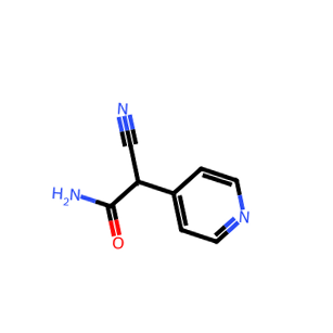 N#C[C](C(N)=O)c1ccncc1